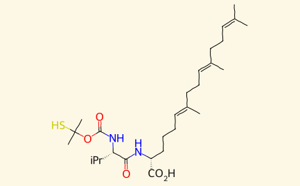 CC(C)=CCC/C(C)=C/CC/C(C)=C/CCC[C@@H](NC(=O)[C@@H](NC(=O)OC(C)(C)S)C(C)C)C(=O)O